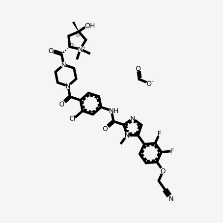 Cn1c(-c2ccc(OCC#N)c(F)c2F)cnc1C(=O)Nc1ccc(C(=O)N2CCN(C(=O)[C@@H]3C[C@](C)(O)C[N+]3(C)C)CC2)c(Cl)c1.O=C[O-]